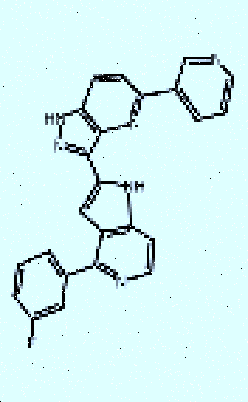 Fc1cccc(-c2nccc3[nH]c(-c4n[nH]c5ccc(-c6cccnc6)nc45)cc23)c1